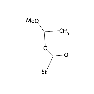 CCC([O])OC(C)OC